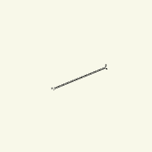 B#S(C)=BB=BB=BB=BB=BB=BB=BB=BB=BB=BB=BB